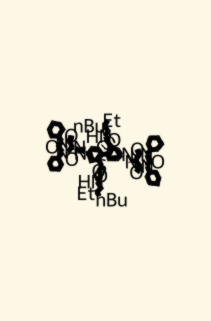 CCCCC(CC)CNOOSc1cc(N=NC2C(=O)N(C3CCCCC3)C(=O)N(C3CCCCC3)C2=O)ccc1-c1ccc(N=NC2C(=O)N(C3CCCCC3)C(=O)N(C3CCCCC3)C2=O)cc1S(=O)(=O)NCC(CC)CCCC